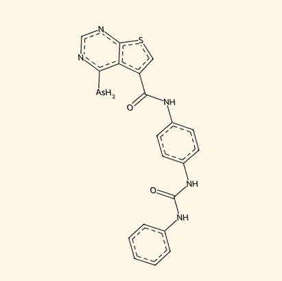 O=C(Nc1ccccc1)Nc1ccc(NC(=O)c2csc3ncnc([AsH2])c23)cc1